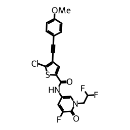 COc1ccc(C#Cc2cc(C(=O)Nc3cc(F)c(=O)n(CC(F)F)c3)sc2Cl)cc1